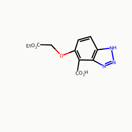 CCOC(=O)COc1ccc2[nH]nnc2c1C(=O)O